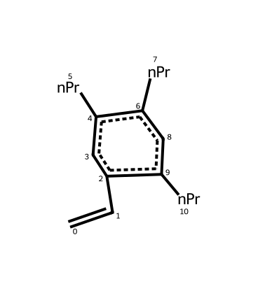 C=Cc1cc(CCC)c(CCC)cc1CCC